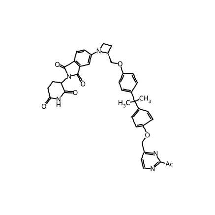 CC(=O)c1nccc(COc2ccc(C(C)(C)c3ccc(OC[C@@H]4CCN4c4ccc5c(c4)C(=O)N(C4CCC(=O)NC4=O)C5=O)cc3)cc2)n1